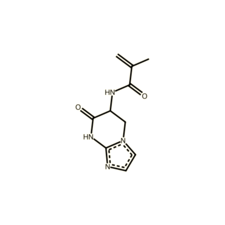 C=C(C)C(=O)NC1Cn2ccnc2NC1=O